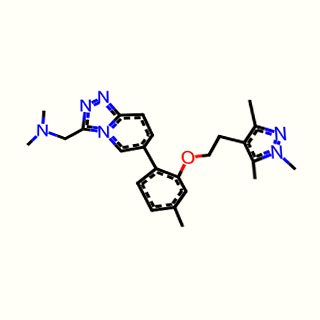 Cc1ccc(-c2ccc3nnc(CN(C)C)n3c2)c(OCCc2c(C)nn(C)c2C)c1